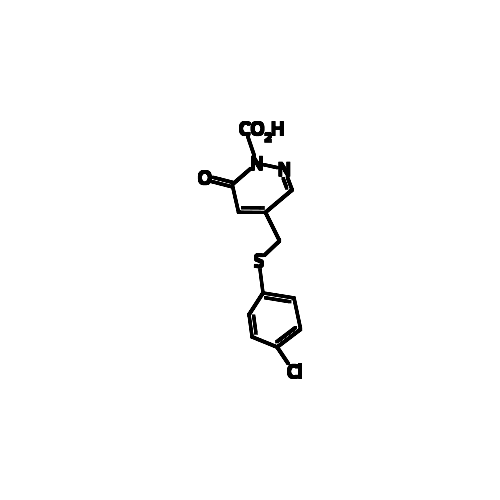 O=C(O)n1ncc(CSc2ccc(Cl)cc2)cc1=O